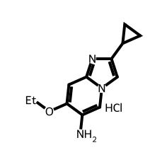 CCOc1cc2nc(C3CC3)cn2cc1N.Cl